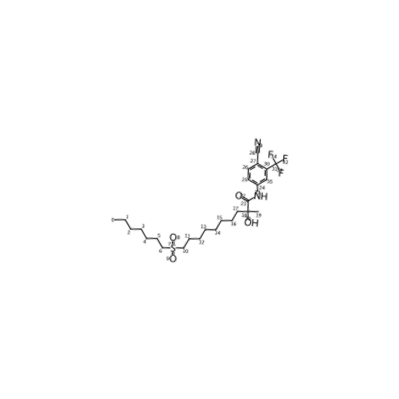 CCCCCCCS(=O)(=O)CCCCCCCCC(C)(O)C(=O)Nc1ccc(C#N)c(C(F)(F)F)c1